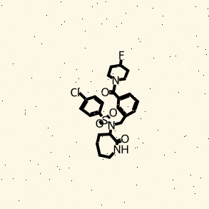 O=C1NCCCCC1N(Cc1cccc(C(=O)N2CCC(F)CC2)c1)S(=O)(=O)c1ccc(Cl)cc1